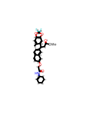 COC(=O)CC(c1ccc2ccc(OCC(=O)NC3=CCCCC3)cc2c1)c1cc2c(cc1C)OC(F)(F)O2